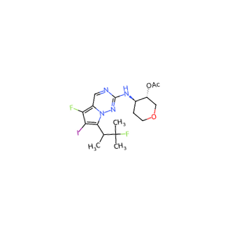 CC(=O)O[C@@H]1COCC[C@H]1Nc1ncc2c(F)c(I)c(C(C)C(C)(C)F)n2n1